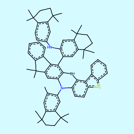 Cc1cc2c(cc1N1c3cc4c(c(-c5cc6c(cc5Nc5ccc7c(c5)C(C)(C)CCC7(C)C)C(C)(C)CCC6(C)C)c3Bc3c1ccc1sc5ccccc5c31)-c1ccccc1C4(C)C)C(C)(C)CCC2(C)C